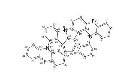 Fc1ccccc1N(c1ccccc1)c1cccc2c1c1cccc3c4c(N(c5ccccc5)c5ccccc5F)cccc4n2c13